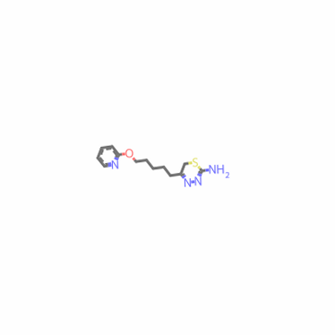 NC1=NN=C(CCCCCOc2ccccn2)CS1